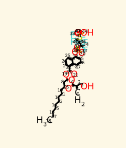 C=C(CO)C(=O)OC(CCCCCCCCCCC)OC(=O)c1cccc2c(OS(=O)(=O)C(F)(F)C(F)(F)C(F)(F)S(=O)(=O)O)cccc12